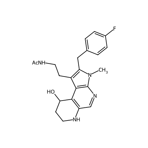 CC(=O)NCCc1c(Cc2ccc(F)cc2)n(C)c2ncc3c(c12)C(O)CCN3